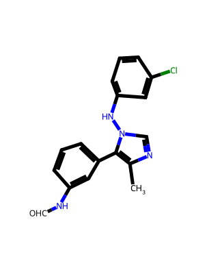 Cc1ncn(Nc2cccc(Cl)c2)c1-c1cccc(NC=O)c1